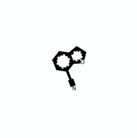 N#Cc1c[c]cc2ccoc12